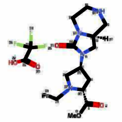 COC(=O)[C@H]1C[C@H](N2C[C@@H]3CNCCN3C2=O)CN1CC(C)C.O=C(O)C(F)(F)F